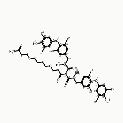 NC(=O)CCOCCCCOCCC(=O)N(C(=O)[C@@H](N)Cc1cc(I)c(Oc2cc(I)c(O)c(I)c2)c(I)c1)C(=O)[C@@H](N)Cc1cc(I)c(Oc2cc(I)c(O)c(I)c2)c(I)c1